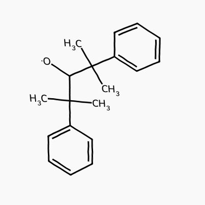 CC(C)(c1ccccc1)C([O])C(C)(C)c1ccccc1